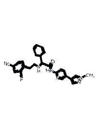 Cn1cc(-c2ccc(NC(=O)C(NCCc3ccc(C#N)cc3F)C3C=CC=CC3)nc2)cn1